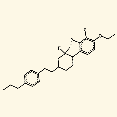 CCCc1ccc(CCC2CCC(c3ccc(OCC)c(F)c3F)C(F)(F)C2)cc1